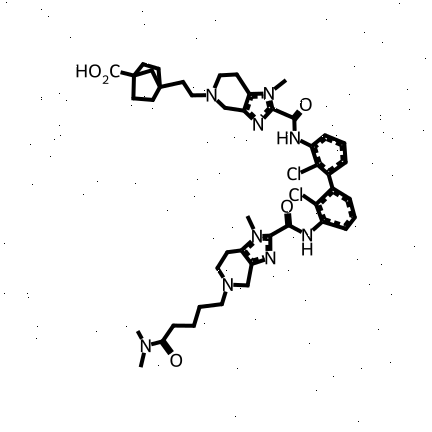 CN(C)C(=O)CCCCN1CCc2c(nc(C(=O)Nc3cccc(-c4cccc(NC(=O)c5nc6c(n5C)CCN(CCC57CCC(C(=O)O)(CC5)C7)C6)c4Cl)c3Cl)n2C)C1